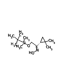 CC1(C)C[C@H]1C(CO[Si](C)(C)C(C)(C)C)=NO